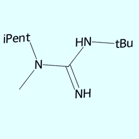 CCCC(C)N(C)C(=N)NC(C)(C)C